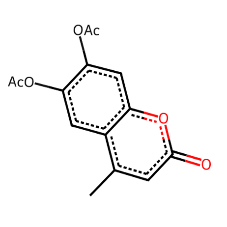 CC(=O)Oc1cc2oc(=O)cc(C)c2cc1OC(C)=O